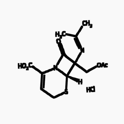 CC(=O)OCC1(N=C(C)C)C(=O)N2C(C(=O)O)=CCS[C@H]21.Cl